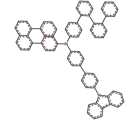 c1ccc(-c2ccccc2-c2ccccc2-c2ccc(N(c3ccc(-c4ccc(-n5c6ccccc6c6ccccc65)cc4)cc3)c3ccc(-c4cccc5cccc(-c6ccccc6)c45)cc3)cc2)cc1